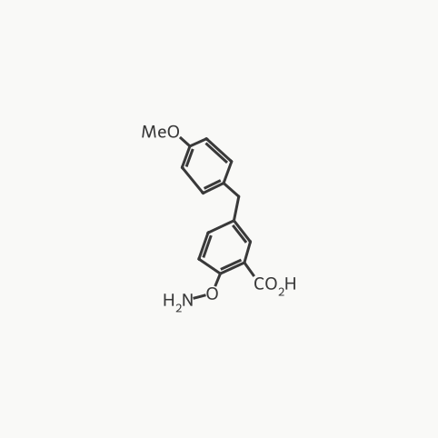 COc1ccc(Cc2ccc(ON)c(C(=O)O)c2)cc1